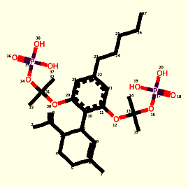 C=C(C)C1CCC(C)=CC1c1c(OC(C)(C)OP(=O)(O)O)cc(CCCCC)cc1OC(C)(C)OP(=O)(O)O